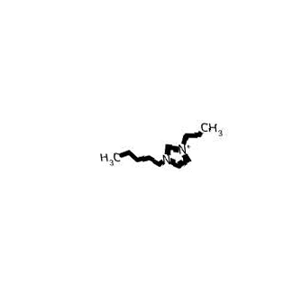 CCCCCn1cc[n+](CCC)c1